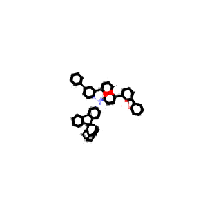 c1ccc(-c2ccc(N(c3ccc(-c4cccc5c4oc4ccccc45)cc3)c3ccc4c(c3)-c3ccccc3C43C4CC5CC(C4)CC3C5)c(-c3ccccc3)c2)cc1